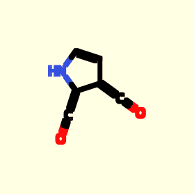 O=C=c1cc[nH]c1=C=O